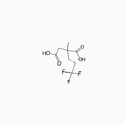 CC(CCC(F)(F)F)(CC(=O)O)C(=O)O